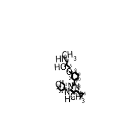 CNCC(O)COc1cccc(-c2nc(NC3CCOCC3)c(C)c(C3CC3)n2)c1